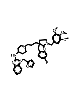 COc1cc(CN2CCC(CCCN3CCC(Nc4nc5ccccc5n4Cc4ccco4)CC3)(Cc3ccc(F)cc3)C2=O)cc(OC)c1OC